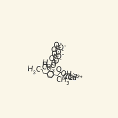 CC(C)Cc1ccc(C(C)C(=O)O)cc1.O.O.O=P([O-])([O-])[O-].O=P([O-])([O-])[O-].[Ca+2].[Ca+2].[Ca+2]